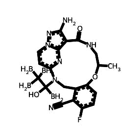 BC(B)(B)C(B)(O)N1Cc2c(ccc(F)c2C#N)OC(C)CNC(=O)c2c(N)nn3ccc1nc23